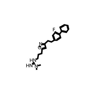 CN(C)C(=N)NCCCc1cc(CCc2ccc(-c3ccccc3)c(F)c2)no1